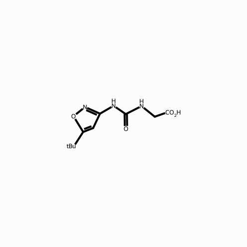 CC(C)(C)c1cc(NC(=O)NCC(=O)O)no1